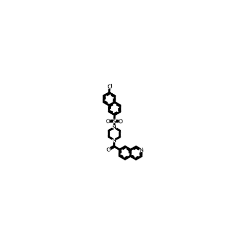 O=C(c1ccc2ccncc2c1)N1CCN(S(=O)(=O)c2ccc3cc(Cl)ccc3c2)CC1